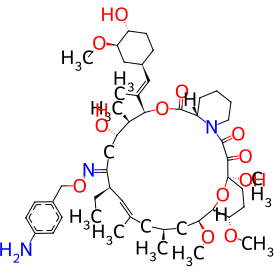 CC[C@@H]1/C=C(\C)C[C@H](C)C[C@H](OC)[C@H]2O[C@@](O)(C(=O)C(=O)N3CCCC[C@H]3C(=O)O[C@H](/C(C)=C/[C@@H]3CC[C@@H](O)[C@H](OC)C3)[C@H](C)[C@@H](O)C/C1=N/OCc1ccc(N)cc1)[C@H](C)C[C@@H]2OC